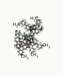 Cc1ccc(-c2ccc3c4ccccc4n(-c4cc(-c5ccc(C(F)(F)F)cc5C(F)(F)F)c(-n5c6ccccc6c6ccc(-c7ccc(C)cc7-c7ccc(-c8ccc9c(c8)c8cc(-c%10cccc(C)c%10)ccc8n9-c8cc(-c9ccc(C(F)(F)F)cc9C(F)(F)F)c(-n9c%10ccc(-c%11cccc(C)c%11)cc%10c%10cc(-c%11cccc(C)c%11)ccc%109)cc8C#N)cc7C)cc65)cc4C#N)c3c2)cc1